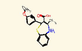 COc1ccc(C2Sc3ccccc3NC(C)=C2C(=O)O)cc1